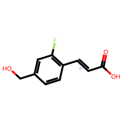 O=C(O)/C=C/c1ccc(CO)cc1F